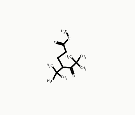 COC(=O)CCC(C(=O)C(C)(C)C)C(C)(C)C